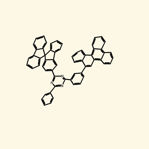 c1ccc(-c2nc(-c3cccc(-c4cc5c6ccccc6c6ccccc6c5c5ccccc45)c3)nc(-c3ccc4c(c3)-c3ccccc3C43c4ccccc4-c4ccccc43)n2)cc1